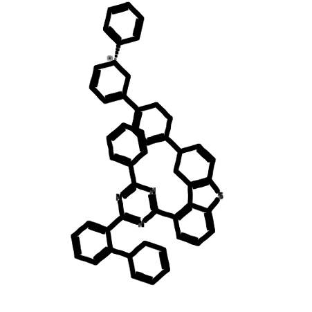 C1=CCC(c2ccccc2-c2nc(-c3ccccc3)nc(-c3cccc4sc5c(c34)CC(C3=CC=C(C4=CC=C[C@H](c6ccccc6)C4)CC3)C=C5)n2)C=C1